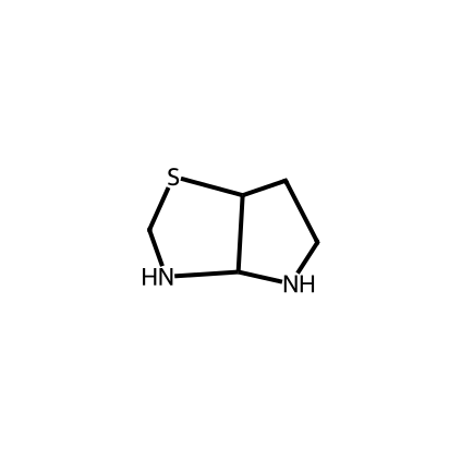 C1CC2SCNC2N1